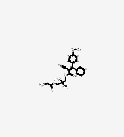 CCC(=O)OCC(C)(C)COC(=O)C(C#N)=C(c1ccccc1)c1ccc(OC)cc1